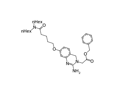 CCCCCCN(CCCCCC)C(=O)CCCCOc1ccc2c(c1)N=C(N)N(CC(=O)OCc1ccccc1)C2